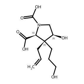 C=CC[C@]1(CCCO)[C@H](O)CN(C(=O)O)[C@@H]1C(=O)O